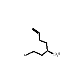 C=CCCC(CCCl)C(=O)O